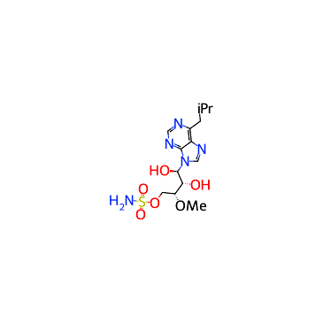 CO[C@H](COS(N)(=O)=O)[C@@H](O)[C@@H](O)n1cnc2c(CC(C)C)ncnc21